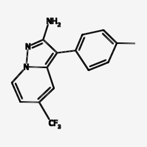 Cc1ccc(-c2c(N)nn3ccc(C(F)(F)F)cc23)cc1